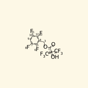 O=C(OCc1c(F)c(F)cc(F)c1F)C(O)(C(F)(F)F)C(F)(F)F